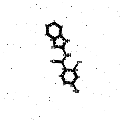 O=C(Nc1nc2ccccc2s1)c1ccc(Br)cc1F